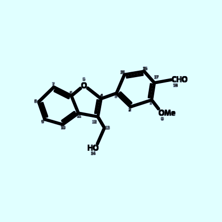 COc1cc(-c2oc3ccccc3c2CO)ccc1C=O